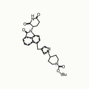 CC(C)(C)OC(=O)N1CCC(n2cc(Cc3ccc4c5c(cccc35)C(=O)N4[C@@H]3CCC(=O)NC3=O)cn2)CC1